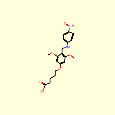 COc1cc(OCCCCC(=O)O)cc(OC)c1CNc1ccc([N+](=O)[O-])cc1